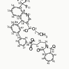 CCOC(=O)c1cnc2c(C(F)(F)F)cccc2c1-c1cccc(-c2cccc(S(=O)(=O)CCCN3C(=O)c4ccccc4C3=O)c2)c1